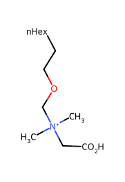 CCCCCCCCOC[N+](C)(C)CC(=O)O